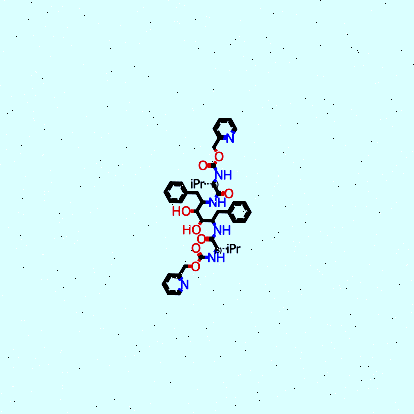 CC(C)[C@H](NC(=O)OCc1ccccn1)C(=O)NC(Cc1ccccc1)C(O)C(O)C(Cc1ccccc1)NC(=O)[C@@H](NC(=O)OCc1ccccn1)C(C)C